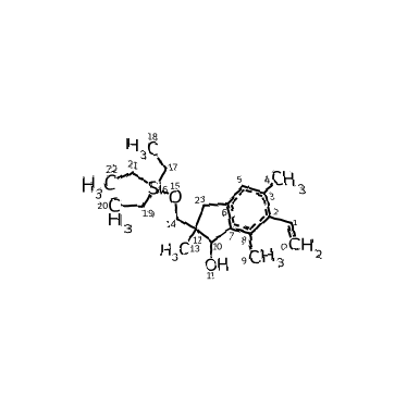 C=Cc1c(C)cc2c(c1C)C(O)C(C)(CO[Si](CC)(CC)CC)C2